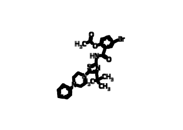 CC(=O)Oc1ccc(Br)cc1C(=O)Nc1nc(C(C)(C)C)c(N2CCN(c3ccccc3)CC2)s1